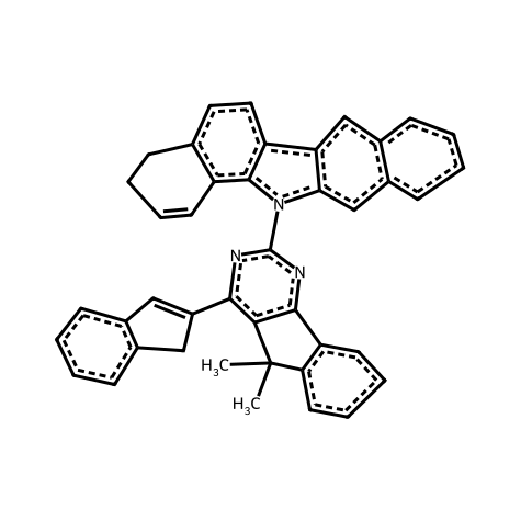 CC1(C)c2ccccc2-c2nc(-n3c4cc5ccccc5cc4c4ccc5c(c43)C=CCC5)nc(C3=Cc4ccccc4C3)c21